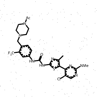 CNc1ncc(Cl)c(-c2sc(NC(=O)Nc3ccc(CN4CCN(C(C)=O)CC4)c(C(F)(F)F)c3)nc2C)n1